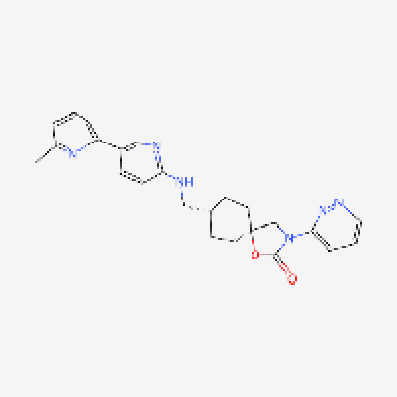 Cc1cccc(-c2ccc(NC[C@H]3CC[C@]4(CC3)CN(c3cccnn3)C(=O)O4)nc2)n1